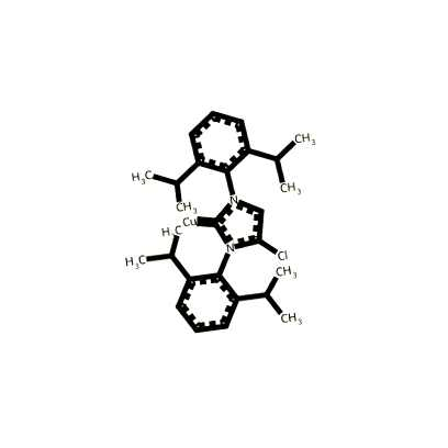 CC(C)c1cccc(C(C)C)c1-n1cc(Cl)n(-c2c(C(C)C)cccc2C(C)C)[c]1=[Cu]